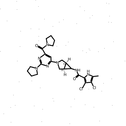 Cc1[nH]c(C(=O)NC2[C@H]3CN(c4cc(C(=O)N5CCCC5)nc(N5CCCC5)n4)C[C@@H]23)c(Cl)c1Cl